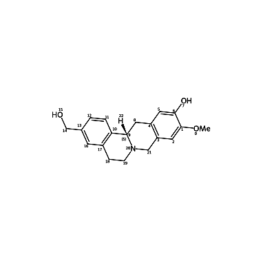 COc1cc2c(cc1O)C[C@H]1c3ccc(CO)cc3CCN1C2